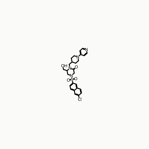 O=C1CN(S(=O)(=O)c2ccc3cc(Cl)ccc3c2)CC(CO)N1CC1CCN(c2ccncc2)CC1